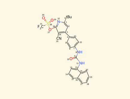 CC(C)(C)c1cc(-c2ccc(NC(=O)Nc3cccc4ccccc34)cc2)c(C#N)c(OS(=O)(=O)C(F)(F)F)n1